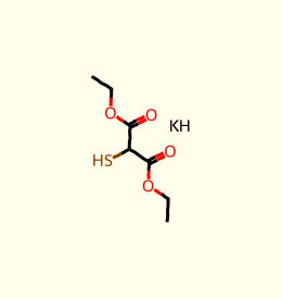 CCOC(=O)C(S)C(=O)OCC.[KH]